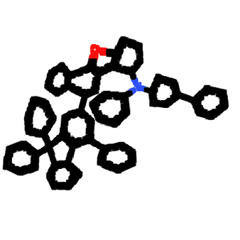 c1ccc(-c2ccc(N(c3ccccc3)c3cccc4oc5c6ccccc6c(-c6cc(-c7ccccc7)c7c(c6)C(c6ccccc6)(c6ccccc6)c6ccccc6-7)cc5c34)cc2)cc1